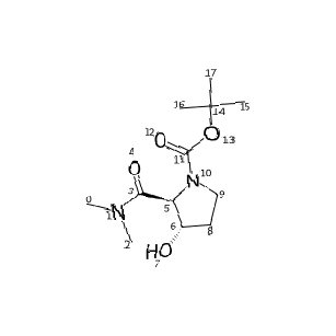 CN(C)C(=O)[C@@H]1[C@@H](O)CCN1C(=O)OC(C)(C)C